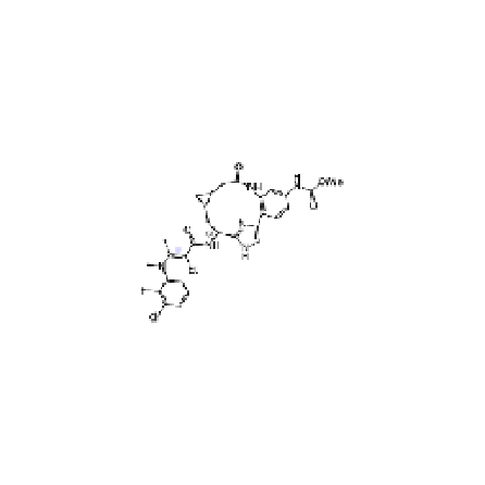 CC/C(C(=O)N[C@H]1CC2CC2CC(=O)Nc2cc(NC(=O)OC)ccc2-c2c[nH]c1n2)=C(/C)N(C)c1cccc(Cl)c1F